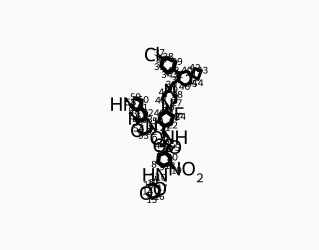 O=C(NS(=O)(=O)c1ccc(NC[C@H]2COCCO2)c([N+](=O)[O-])c1)c1cc(F)c(N2CCN(CC3=C(c4ccc(Cl)cc4)CC4(CCC4)CC3)CC2)cc1N1CCOc2nc3[nH]ccc3cc21